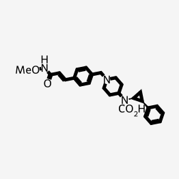 CONC(=O)C=Cc1ccc(CN2CCC(N(C(=O)O)[C@@H]3C[C@H]3c3ccccc3)CC2)cc1